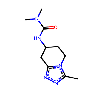 Cc1nnc2n1CCC(NC(=O)N(C)C)C2